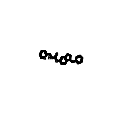 O=C(NCc1ccccn1)Oc1ccc2c(c1)CCN2Cc1ccccc1